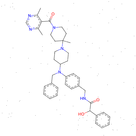 Cc1ncnc(C)c1C(=O)N1CCC(C)(N2CCC(N(Cc3ccccc3)c3ccc(CNC(=O)C(O)c4ccccc4)cc3)CC2)CC1